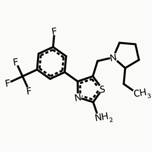 CCC1CCCN1Cc1sc(N)nc1-c1cc(F)cc(C(F)(F)F)c1